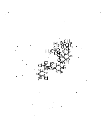 CC(C)(C)OC(=O)N(C(=O)OC(C)(C)C)c1c(F)ccc(NC(=O)c2cc(NC(=O)[C@H]3[C@H](c4ccc(F)c(Cl)c4)C3(Cl)Cl)cc(F)c2F)c1F